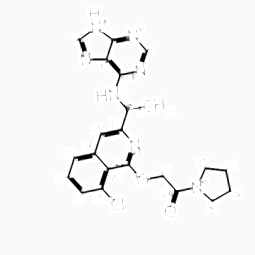 C[C@H](Nc1ncnc2[nH]cnc12)c1cc2cccc(Cl)c2c(OCC(=O)N2CCCC2)n1